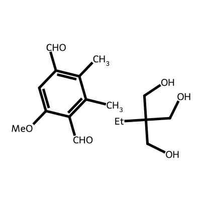 CCC(CO)(CO)CO.COc1cc(C=O)c(C)c(C)c1C=O